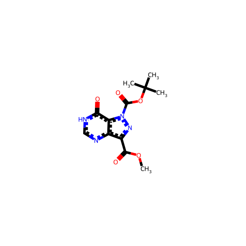 COC(=O)c1nn(C(=O)OC(C)(C)C)c2c(=O)[nH]cnc12